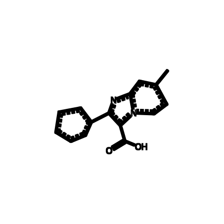 Cc1ccn2c(C(=O)O)c(-c3ccccc3)nc2c1